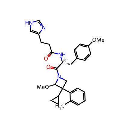 COc1ccc(C[C@@H](NC(=O)CCc2c[nH]cn2)C(=O)N2CC(c3ccccc3C)(C3CC3)C2OC)cc1